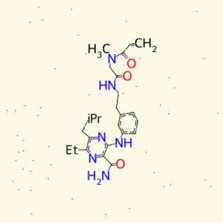 C=CC(=O)N(C)CC(=O)NCCc1cccc(Nc2nc(CC(C)C)c(CC)nc2C(N)=O)c1